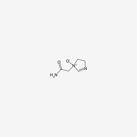 NC(=O)C[N+]1([O-])C=NCC1